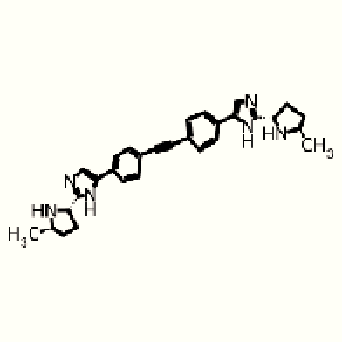 C[C@@H]1CC[C@@H](c2ncc(-c3ccc(C#Cc4ccc(-c5cnc([C@@H]6CC[C@@H](C)N6)[nH]5)cc4)cc3)[nH]2)N1